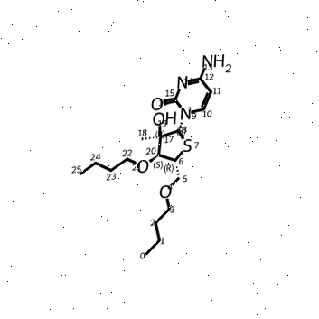 CCCCOC[C@H]1S[C@@H](n2ccc(N)nc2=O)[C@](C)(O)[C@@H]1OCCCC